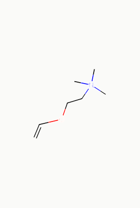 C=COCC[N+](C)(C)C